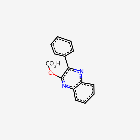 O=C(O)Oc1nc2ccccc2nc1-c1ccccc1